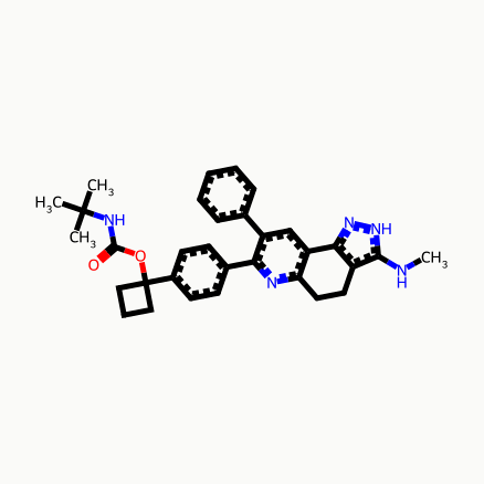 CNc1[nH]nc2c1CCc1nc(-c3ccc(C4(OC(=O)NC(C)(C)C)CCC4)cc3)c(-c3ccccc3)cc1-2